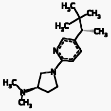 C[C@H](c1ccc(N2CC[C@@H](N(C)C)C2)nc1)C(C)(C)C